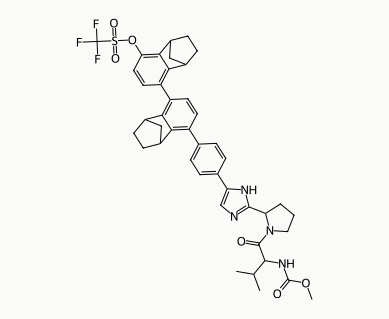 COC(=O)NC(C(=O)N1CCCC1c1ncc(-c2ccc(-c3ccc(-c4ccc(OS(=O)(=O)C(F)(F)F)c5c4C4CCC5C4)c4c3C3CCC4C3)cc2)[nH]1)C(C)C